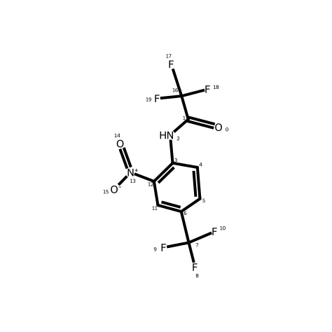 O=C(Nc1ccc(C(F)(F)F)cc1[N+](=O)[O-])C(F)(F)F